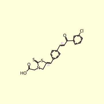 O=C(O)CN1C/C(=C/c2ccc(/C=C/C(=O)c3cccc(Cl)c3)cc2)SC1=S